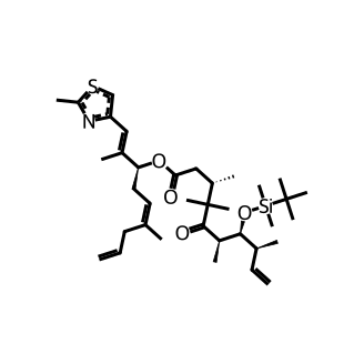 C=CC/C(C)=C\C[C@H](OC(=O)C[C@H](C)C(C)(C)C(=O)[C@H](C)[C@@H](O[Si](C)(C)C(C)(C)C)[C@@H](C)C=C)/C(C)=C/c1csc(C)n1